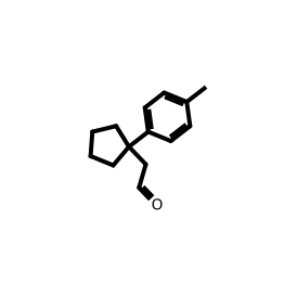 Cc1ccc(C2(CC=O)CCCC2)cc1